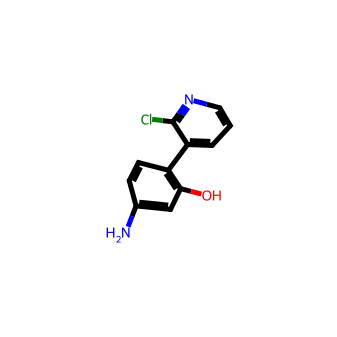 Nc1ccc(-c2cccnc2Cl)c(O)c1